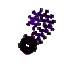 II(I)I(I)I(I)I(I)I(I)I(I)I(I)I(I)I(I)I(I)I(I)I(I)I(I)I(I)I(I)I(I)I(I)I(I)I(I)I(I)I(I)I(I)I(I)I(I)I(I)I(I)I(I)I(I)I(I)I(I)I(I)I(I)I(I)I(I)I(I)I(I)I(I)I(I)I(I)I(I)I(I)I(I)I(I)I(I)I(I)I(I)I(I)I(I)I(I)I(I)I(I)I(I)I(I)I(I)I(I)I(I)I(I)I(I)I(I)I(I)I(I)I